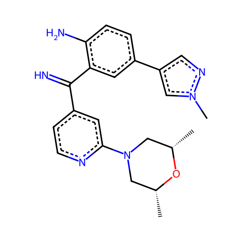 C[C@@H]1CN(c2cc(C(=N)c3cc(-c4cnn(C)c4)ccc3N)ccn2)C[C@H](C)O1